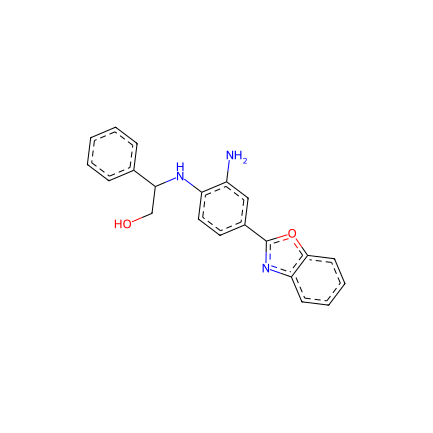 Nc1cc(-c2nc3ccccc3o2)ccc1NC(CO)c1ccccc1